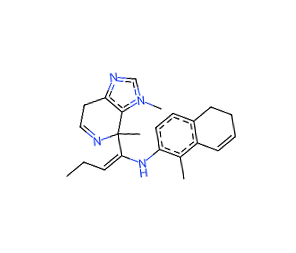 CC/C=C(/Nc1ccc2c(c1C)C=CCC2)C1(C)N=CCc2ncn(C)c21